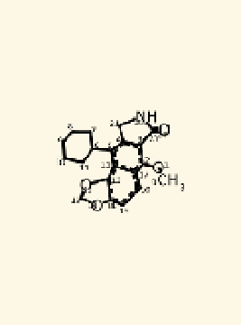 COc1c2c(c(C3CCCCC3)c3c4c(ccc13)OCO4)CNC2=O